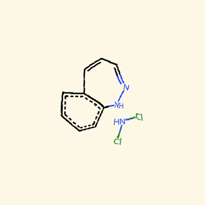 C1=Cc2ccccc2NN=C1.ClNCl